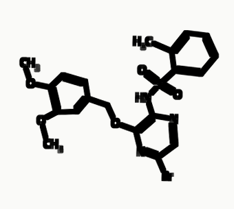 COc1ccc(COc2nc(Br)cnc2NS(=O)(=O)c2ccccc2C)cc1OC